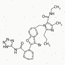 CCCc1nc(C)c(C(=O)NCC)n1Cc1ccc2oc(-c3ccccc3C(=O)Nc3nnn[nH]3)c(Br)c2c1